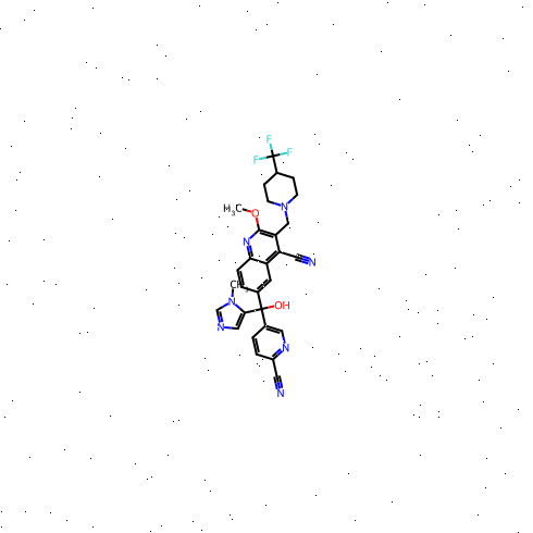 COc1nc2ccc(C(O)(c3ccc(C#N)nc3)c3cncn3C)cc2c(C#N)c1CN1CCC(C(F)(F)F)CC1